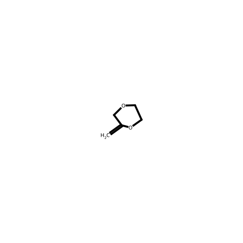 C=C1COCCO1